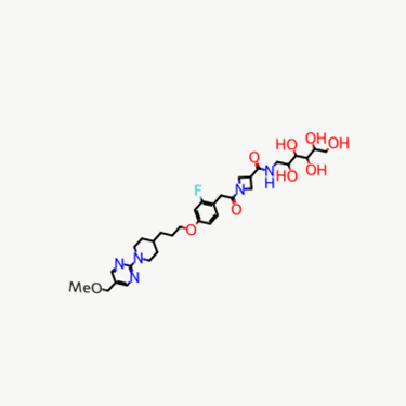 COCc1cnc(N2CCC(CCCOc3ccc(CC(=O)N4CC(C(=O)NCC(O)C(O)C(O)C(O)CO)C4)c(F)c3)CC2)nc1